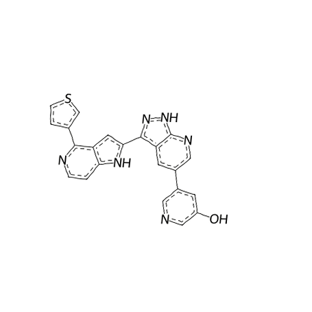 Oc1cncc(-c2cnc3[nH]nc(-c4cc5c(-c6ccsc6)nccc5[nH]4)c3c2)c1